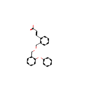 O=C(O)C=Cc1ccccc1COCc1ccccc1Oc1ccccc1